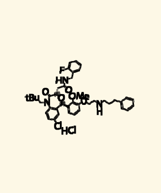 COc1c(OCCNCCCc2ccccc2)cccc1[C@@H]1O[C@@H](CC(=O)NCc2ccccc2F)C(=O)N(CC(C)(C)C)c2ccc(Cl)cc21.Cl